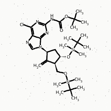 C=C1[C@H](CO[Si](C)(C)C(C)(C)C)[C@@H](O[Si](C)(C)C(C)(C)C)C[C@@H]1n1cnc2c(Cl)nc(NC(=O)OC(C)(C)C)nc21